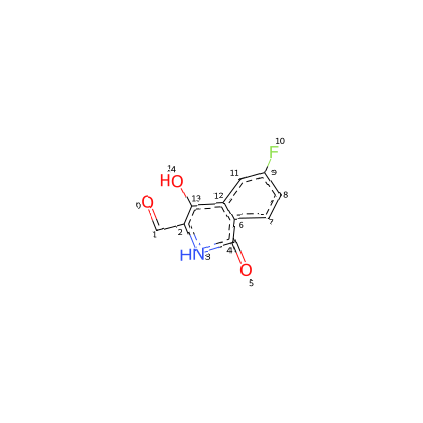 O=Cc1[nH]c(=O)c2ccc(F)cc2c1O